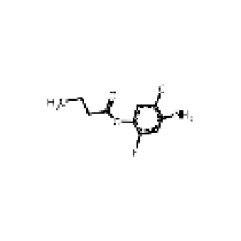 CCCC(=O)Oc1cc(Cl)c(N)cc1F